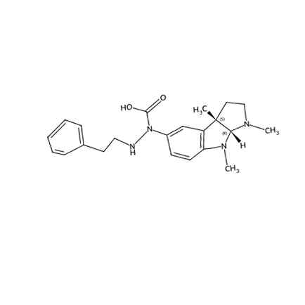 CN1CC[C@@]2(C)c3cc(N(NCCc4ccccc4)C(=O)O)ccc3N(C)[C@@H]12